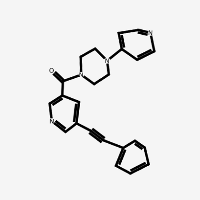 O=C(c1cncc(C#Cc2ccccc2)c1)N1CCN(c2ccncc2)CC1